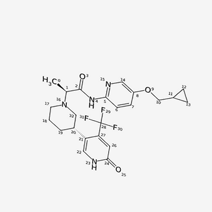 C[C@@H](C(=O)Nc1ccc(OCC2CC2)cn1)N1CCC[C@@H](c2c[nH]c(=O)cc2C(F)(F)F)C1